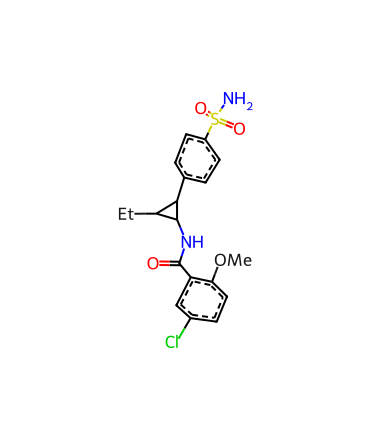 CCC1C(NC(=O)c2cc(Cl)ccc2OC)C1c1ccc(S(N)(=O)=O)cc1